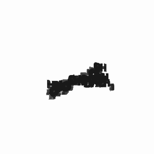 CS(=O)(=O)Nc1cc([C@@H](O)CNCCOc2ccc3c(c2)[nH]c2ccccc23)ccc1CO